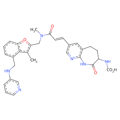 Cc1c(CN(C)C(=O)/C=C/c2cnc3c(c2)CCC(NC(=O)O)C(=O)N3)oc2cccc(CNc3cccnc3)c12